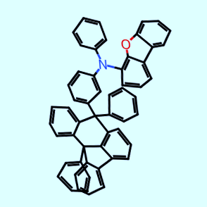 c1ccc(N(c2cccc(C3(c4ccccc4)c4ccccc4C4(c5ccccc5)c5ccccc5-c5cccc3c54)c2)c2cccc3c2oc2ccccc23)cc1